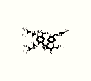 CCNC(=O)c1noc(-c2cc(C(C)C)c(OC(=O)NC(C)C)cc2OC(=O)NC(C)C)c1-c1ccc(CNCCO)cc1